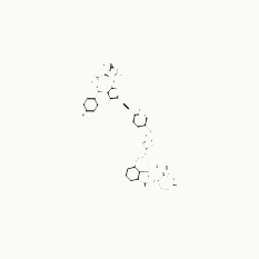 Cc1c(C#Cc2ccc(CN3CC(CCc4cccc5c4C(=O)N(C4CCC(=O)NC4=O)C5=O)C3)cn2)sc2c1C(c1ccc(Cl)cc1)=N[C@@H](C)c1nnc(C)n1-2